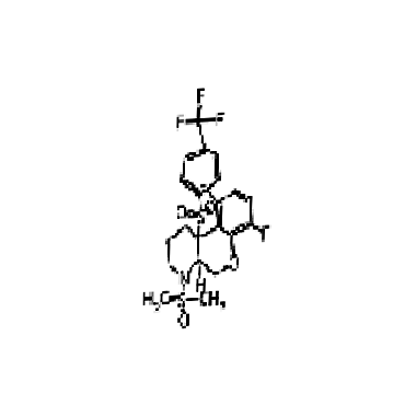 C=S(C)(=O)N1CCC[C@]2(S(=O)(=O)c3ccc(C(F)(F)F)cc3)c3c(F)ccc(F)c3OC[C@H]12